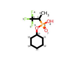 CC(C(F)(F)F)P(=O)(O)OC1CCCCC1